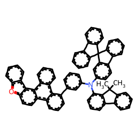 CC1(C)c2ccccc2-c2cccc(N(c3cccc(-c4cccc5c6ccc7oc8ccccc8c7c6c6ccccc6c45)c3)c3ccc4c(c3)C3(c5ccccc5-c5ccccc53)c3ccccc3-4)c21